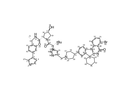 Cc1ncsc1-c1ccc([C@H](C)NC(=O)[C@@H]2C[C@@H](O)CN2C(=O)[C@@H](n2cc(CN3CCC(c4ccc5c(c4)C4(CCCCC4)c4nc(=O)c6c(Br)cccc6n4-5)CC3)nn2)C(C)(C)C)cc1